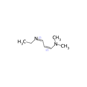 CC/N=C\C=C/N(C)C